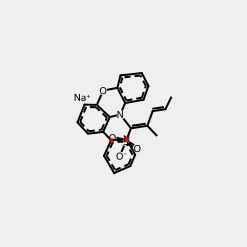 CC=CC(C)=C(N1c2ccccc2Oc2cccc(-c3ccccn3)c21)S(=O)(=O)[O-].[Na+]